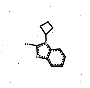 CC(C)c1nc2ccccc2n1C1CCC1